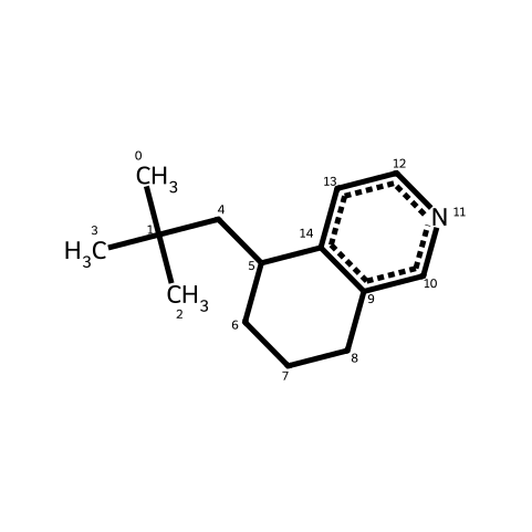 CC(C)(C)CC1CCCc2cnccc21